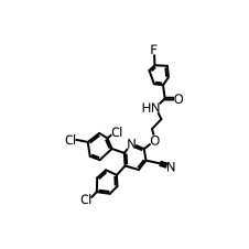 N#Cc1cc(-c2ccc(Cl)cc2)c(-c2ccc(Cl)cc2Cl)nc1OCCNC(=O)c1ccc(F)cc1